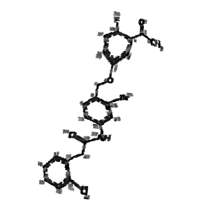 CC(=O)c1cc(OCc2ccc(NC(=O)Cc3ccccc3Cl)cc2Br)ccc1F